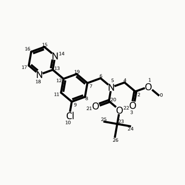 COC(=O)CN(Cc1cc(Cl)cc(-c2ncccn2)c1)C(=O)OC(C)(C)C